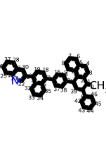 C=C1c2ccc3ccccc3c2C(c2ccc(-c3ccc(-c4cnc5ccccc5c4)c4ccccc34)cc2)=CC1c1ccccc1